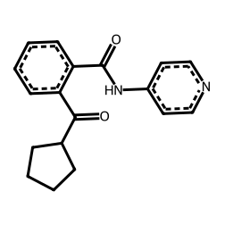 O=C(Nc1ccncc1)c1ccccc1C(=O)C1CCCC1